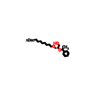 CCCCCCCCCCCCCCCCCCOC[C@H](CO)OC(C)c1ccccc1